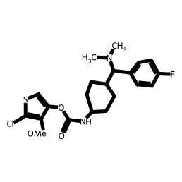 COc1c(OC(=O)NC2CCC(C(c3ccc(F)cc3)N(C)C)CC2)csc1Cl